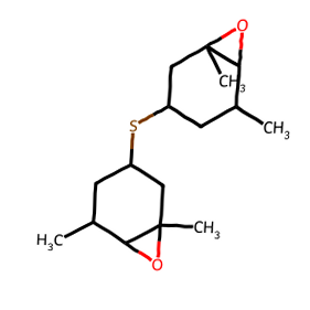 CC1CC(SC2CC(C)C3OC3(C)C2)CC2(C)OC12